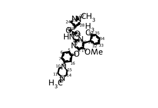 COc1c(Oc2cccc(N3CCN(C)CC3)c2)nc(NS(=O)(=O)c2cnn(C)c2)nc1-c1ccccc1C